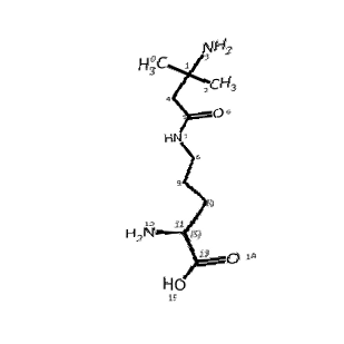 CC(C)(N)CC(=O)NCCC[C@H](N)C(=O)O